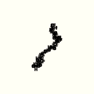 O=C1CCC(N2C(=O)c3cccc(NC4CCN(CCOCCOCCNC(=O)c5ccc(-n6cc(NC(=O)c7coc(-c8ccnc(NCC(F)(F)F)c8)n7)c(C(F)F)n6)cc5)CC4)c3C2=O)C(=O)N1